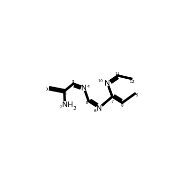 C=C(N)\C=N/C=N\C(=C\C)\N=C/C